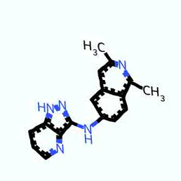 Cc1cc2cc(Nc3n[nH]c4cccnc34)ccc2c(C)n1